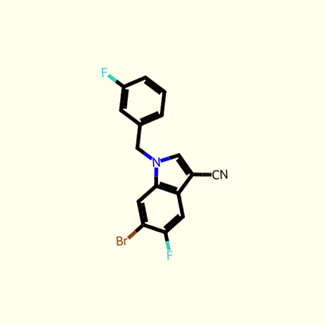 N#Cc1cn(Cc2cccc(F)c2)c2cc(Br)c(F)cc12